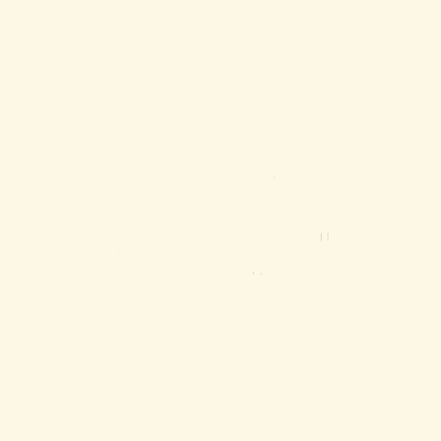 CCC(Pc1ccc(C)cc1C(C)=O)c1cc(OC)ccc1OCOC